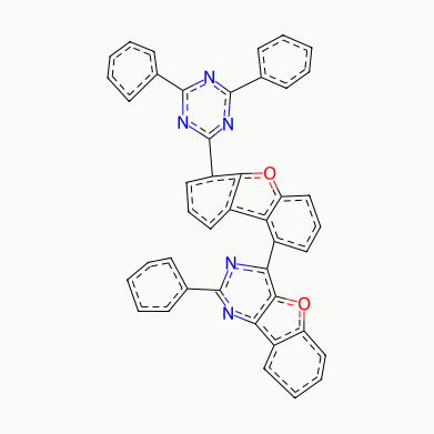 c1ccc(-c2nc(-c3ccccc3)nc(-c3cccc4c3oc3cccc(-c5nc(-c6ccccc6)nc6c5oc5ccccc56)c34)n2)cc1